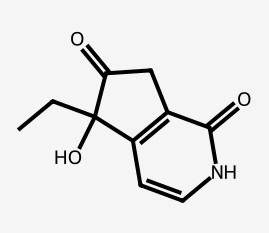 CCC1(O)C(=O)Cc2c1cc[nH]c2=O